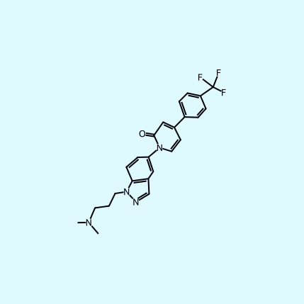 CN(C)CCCn1ncc2cc(-n3ccc(-c4ccc(C(F)(F)F)cc4)cc3=O)ccc21